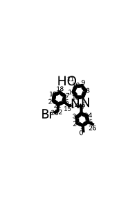 Cc1ccc(-c2nc3ccc(O)cc3n2Cc2ccccc2CBr)cc1C